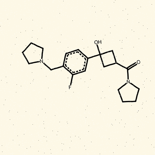 O=C(C1CC(O)(c2ccc(CN3CCCC3)c(F)c2)C1)N1CCCC1